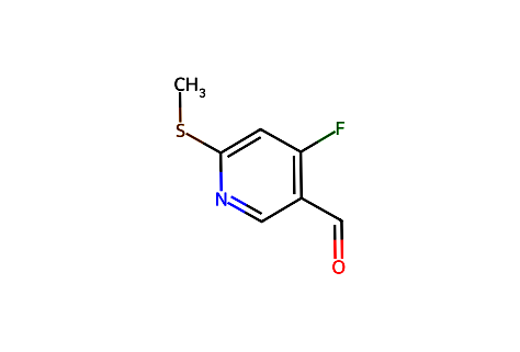 CSc1cc(F)c(C=O)cn1